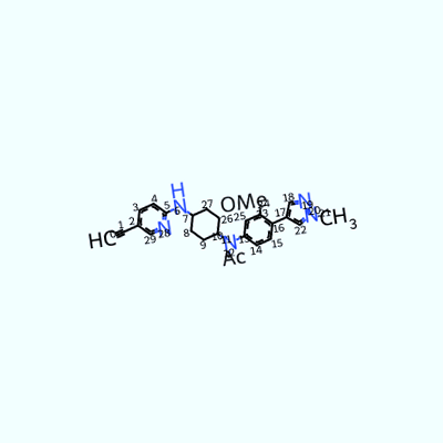 C#Cc1ccc(NC2CCC(N(C(C)=O)c3ccc(-c4cnn(C)c4)c(OC)c3)CC2)nc1